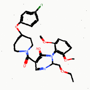 CCOCC1N=CC(C(=O)N2CCC(Oc3ccc(Cl)cc3)CC2)=C(O)N1c1c(OC)cccc1OC